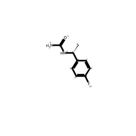 C[C@@H](NC(N)=O)c1ccc(F)cc1